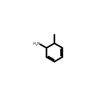 CC1C=CC=CC1N